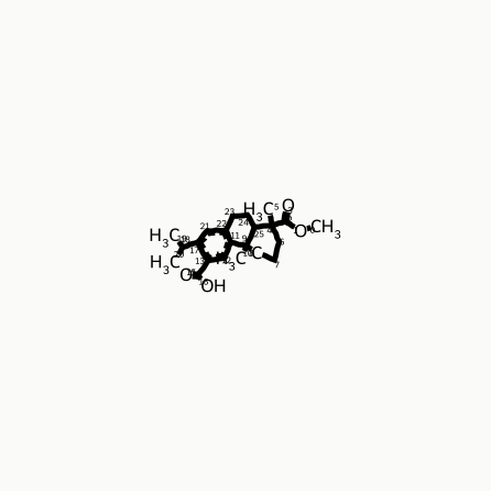 COC(=O)C1(C)CCCC2(C)c3cc(C(=O)O)c(C(C)C)cc3CCC12